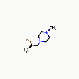 C=C(Br)CN1CCN(C)CC1